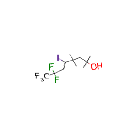 CC(C)(O)CC(C)(C)C(I)CC(F)(F)C(F)(F)F